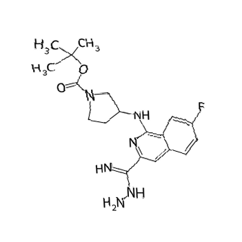 CC(C)(C)OC(=O)N1CCC(Nc2nc(C(=N)NN)cc3ccc(F)cc23)C1